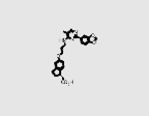 Cc1cnc(-c2ccc3c(c2)OCO3)nc1NCCCOc1ccc2c(c1)CC[C@H]2CC(=O)O